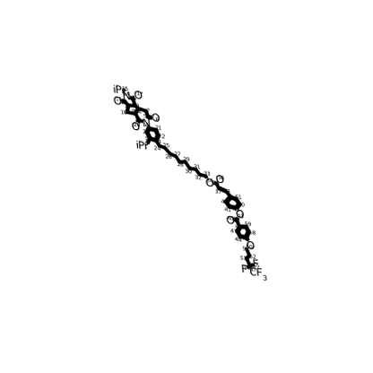 CC(C)c1cc(N2C(=O)CC3C(CC4C(=O)N(C(C)C)C(=O)C43)C2=O)ccc1CCCCCCCCCCOC(=O)/C=C/c1ccc(OC(=O)c2ccc(OCCCC(F)(F)C(F)(F)F)cc2)cc1